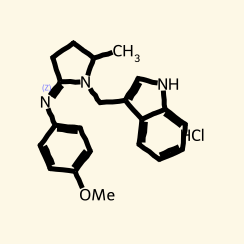 COc1ccc(/N=C2/CCC(C)N2Cc2c[nH]c3ccccc23)cc1.Cl